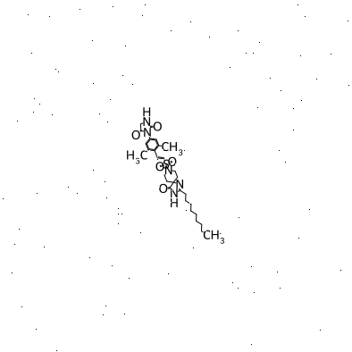 CCCCCCCCCC1=NC2(CCN(S(=O)(=O)C=Cc3c(C)cc(N4C(=O)CNC4=O)cc3C)CC2)C(=O)N1